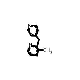 Cc1cccnc1Cc1ccncc1